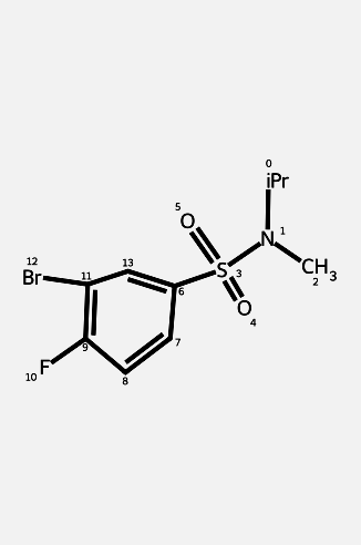 CC(C)N(C)S(=O)(=O)c1ccc(F)c(Br)c1